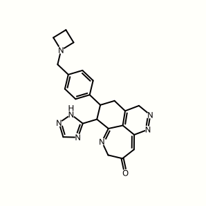 O=C1C=C2N=NCC3=C2C(=NC1)C(c1ncn[nH]1)C(c1ccc(CN2CCC2)cc1)C3